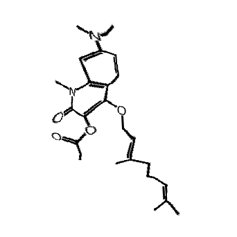 CC(=O)Oc1c(OC/C=C(\C)CCC=C(C)C)c2ccc(N(C)C)cc2n(C)c1=O